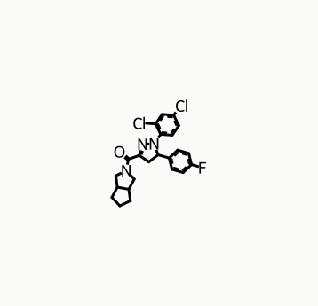 O=C(C1=NN(c2ccc(Cl)cc2Cl)C(c2ccc(F)cc2)C1)N1CC2CCCC2C1